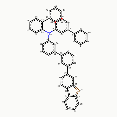 c1ccc(-c2cccc(N(c3cccc(-c4cccc(-c5ccc6c(c5)sc5ccccc56)c4)c3)c3ccccc3-c3ccccc3)c2)cc1